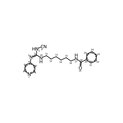 N#CNC(=Nc1ccncc1)NCCCCCCNC(=O)c1ccccc1